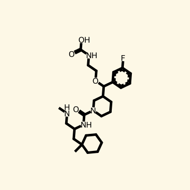 CNCC(CC1(C)CCCCC1)NC(=O)N1CCCC(C(OCCNC(=O)O)c2cccc(F)c2)C1